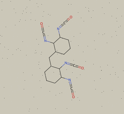 O=C=NC1CCCC(CC2CCCC(N=C=O)C2N=C=O)C1N=C=O